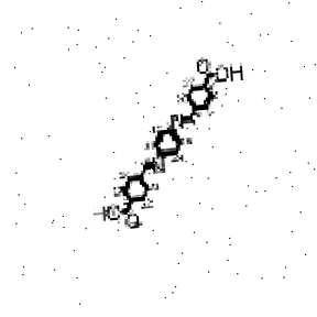 O=C(O)c1ccc(C=Nc2ccc(N=Cc3ccc(C(=O)O)cc3)cc2)cc1